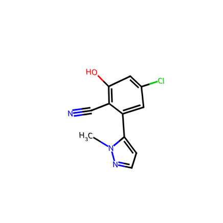 Cn1nccc1-c1cc(Cl)cc(O)c1C#N